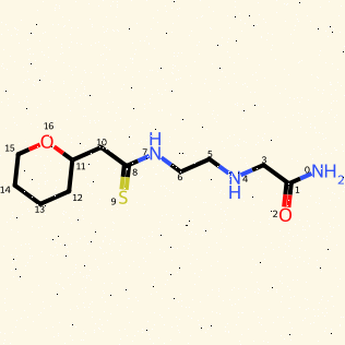 NC(=O)CNCCNC(=S)CC1CCCCO1